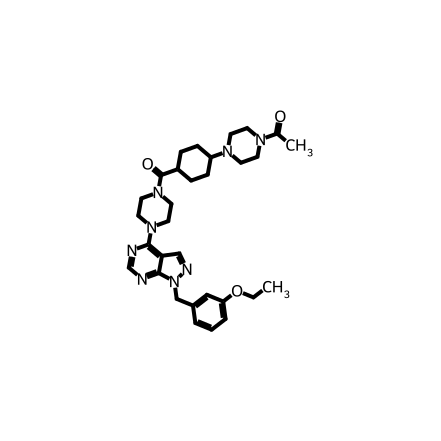 CCOc1cccc(Cn2ncc3c(N4CCN(C(=O)C5CCC(N6CCN(C(C)=O)CC6)CC5)CC4)ncnc32)c1